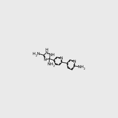 NC1=NC(N)(c2ccc(-c3ccc(N)nc3)nc2)NN1